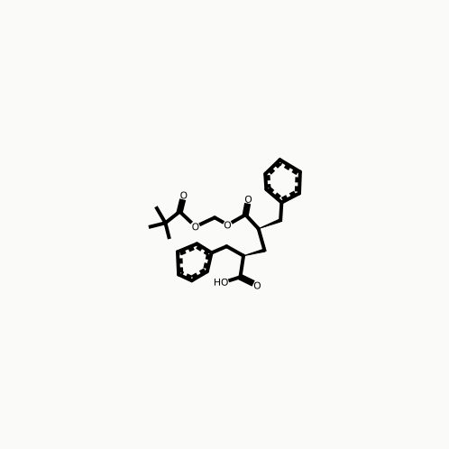 CC(C)(C)C(=O)OCOC(=O)[C@@H](Cc1ccccc1)C[C@H](Cc1ccccc1)C(=O)O